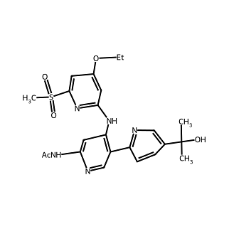 CCOc1cc(Nc2cc(NC(C)=O)ncc2-c2ccc(C(C)(C)O)cn2)nc(S(C)(=O)=O)c1